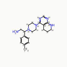 NCC(c1ccc(C(F)(F)F)cc1)N1CCN(c2ncnc3c2CCCN3)CC1